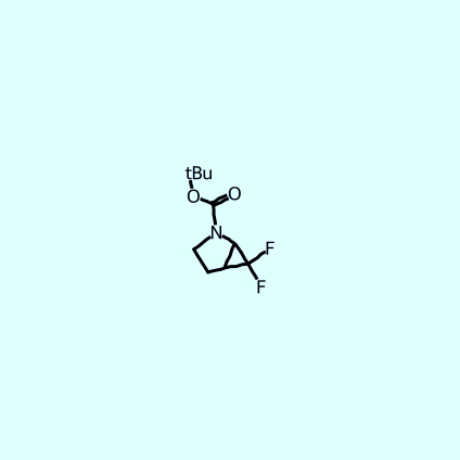 CC(C)(C)OC(=O)N1CCC2C1C2(F)F